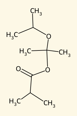 CC(C)OC(C)(C)OC(=O)C(C)C